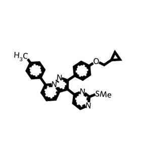 CSc1nccc(-c2c(-c3ccc(OCC4CC4)cc3)nn3c(-c4ccc(C)cc4)cccc23)n1